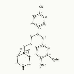 COc1ccc(OC(CCCN2C3CCC2CNC3)c2ccc(C#N)cc2)cc1OC